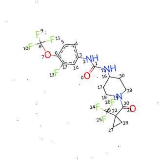 O=C(Nc1ccc(OC(F)(F)F)c(F)c1)NC1CCN(C(=O)C2(C(F)(F)F)CC2)CC1